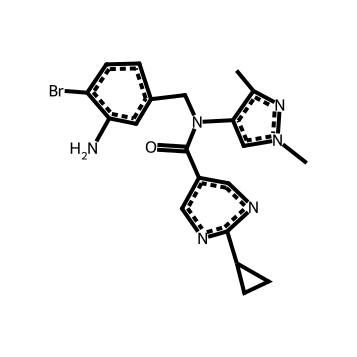 Cc1nn(C)cc1N(Cc1ccc(Br)c(N)c1)C(=O)c1cnc(C2CC2)nc1